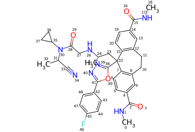 CNC(=O)c1ccc2c(c1)CCc1cc(C(=O)NC)ccc1C2(C[C@H](C)NCC(=O)N(C(C)C#N)C1CC1)c1nnc(-c2ccc(F)cc2)o1